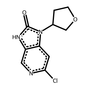 O=c1[nH]c2cnc(Cl)cc2n1C1CCOC1